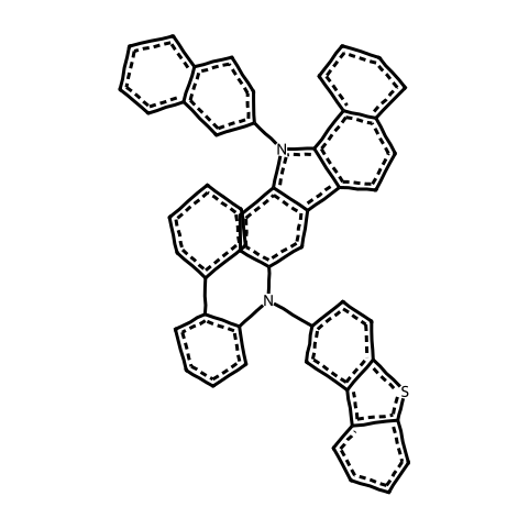 c1ccc(-c2ccccc2N(c2ccc3sc4ccccc4c3c2)c2ccc3c(c2)c2ccc4ccccc4c2n3-c2ccc3ccccc3c2)cc1